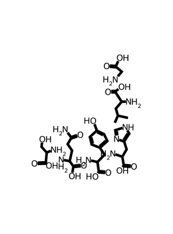 CC(C)CC(N)C(=O)O.NC(=O)CCC(N)C(=O)O.NC(CO)C(=O)O.NC(Cc1c[nH]cn1)C(=O)O.NC(Cc1ccc(O)cc1)C(=O)O.NCC(=O)O